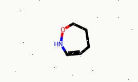 [C]1=CCCCON1